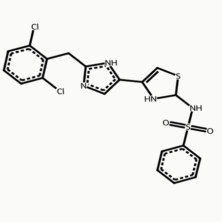 O=S(=O)(NC1NC(c2cnc(Cc3c(Cl)cccc3Cl)[nH]2)=CS1)c1ccccc1